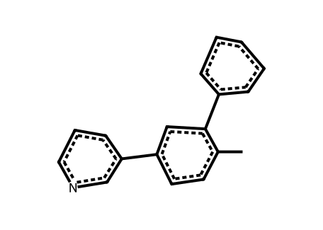 Cc1ccc(-c2cccnc2)cc1-c1ccccc1